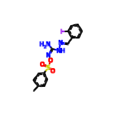 Cc1ccc(S(=O)(=O)ON=C(N)NN=Cc2ccccc2I)cc1